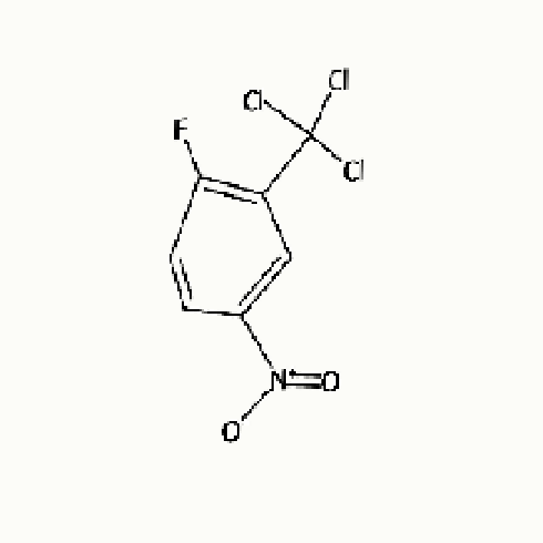 O=[N+]([O-])c1ccc(F)c(C(Cl)(Cl)Cl)c1